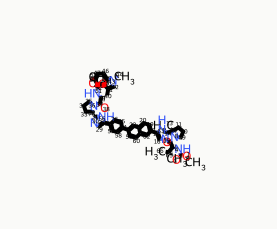 COC(=O)N[C@H](C(=O)N1CCC[C@@]1(C)c1ncc(-c2ccc3cc(-c4ccc(-c5cnc([C@@H]6CCCN6C(=O)[C@@H](Cc6cn(C)c7ccccc67)NC(=O)OC)[nH]5)cc4)ccc3c2)[nH]1)C(C)C